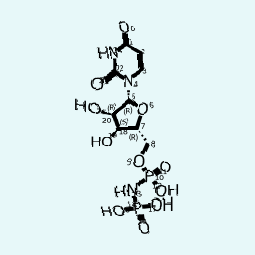 O=c1ccn([C@@H]2O[C@H](COP(=O)(O)NP(=O)(O)O)[C@@H](O)[C@H]2O)c(=O)[nH]1